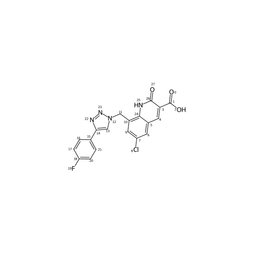 O=C(O)c1cc2cc(Cl)cc(Cn3cc(-c4ccc(F)cc4)nn3)c2[nH]c1=O